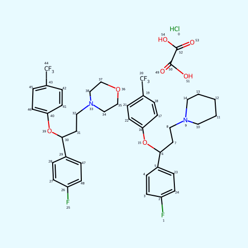 Cl.Fc1ccc(C(CCN2CCCCC2)Oc2ccc(C(F)(F)F)cc2)cc1.Fc1ccc(C(CCN2CCOCC2)Oc2ccc(C(F)(F)F)cc2)cc1.O=C(O)C(=O)O